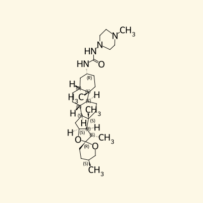 C[C@H]1CC[C@@]2(OC1)O[C@H]1C[C@H]3[C@@H]4CC[C@@H]5C[C@H](NC(=O)NN6CCN(C)CC6)CC[C@]5(C)[C@H]4CC[C@]3(C)[C@H]1[C@@H]2C